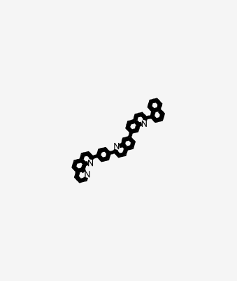 c1ccc2c(-c3ccc4ccc(-c5ccc6ccc(-c7ccc(-c8ccc9ccc%10cccnc%10c9n8)cc7)nc6c5)cc4n3)cccc2c1